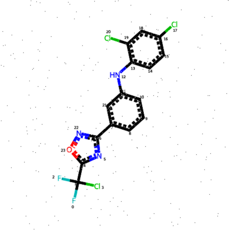 FC(F)(Cl)c1nc(-c2cccc(Nc3ccc(Cl)cc3Cl)c2)no1